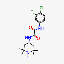 CC1(C)CC(NC(=O)C(=O)Nc2ccc(Cl)c(F)c2)CC(C)(C)N1